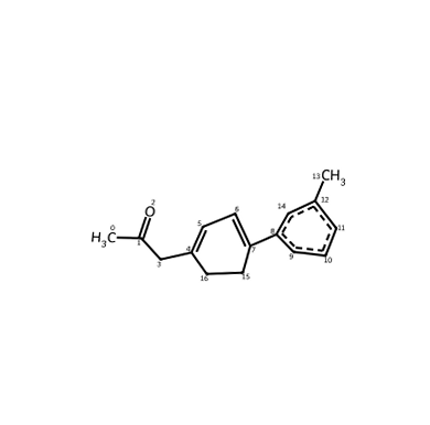 CC(=O)CC1=CC=C(c2cccc(C)c2)CC1